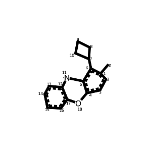 Cc1ccc2c(c1C1CCC1)[N]c1ccccc1O2